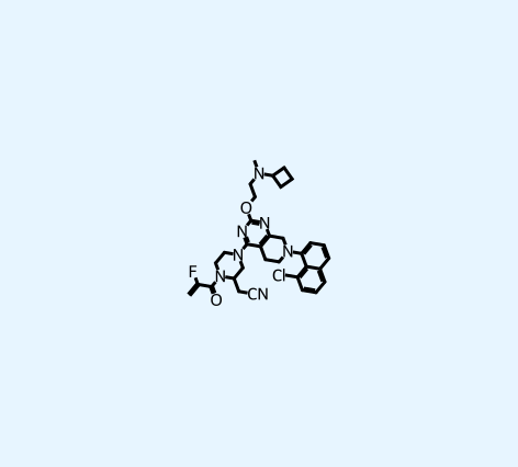 C=C(F)C(=O)N1CCN(c2nc(OCCN(C)C3CCC3)nc3c2CCN(c2cccc4cccc(Cl)c24)C3)CC1CC#N